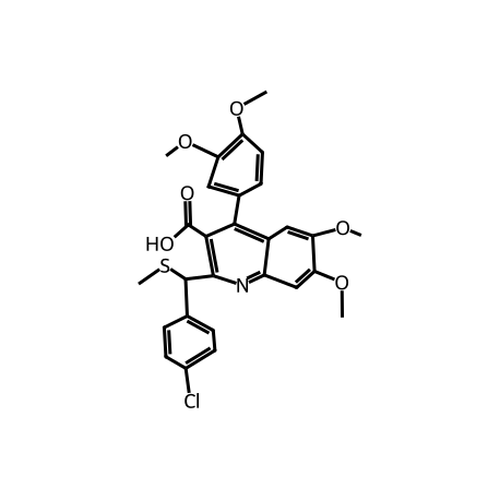 COc1ccc(-c2c(C(=O)O)c(C(SC)c3ccc(Cl)cc3)nc3cc(OC)c(OC)cc23)cc1OC